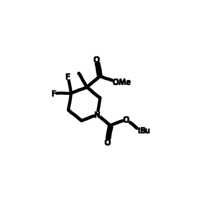 COC(=O)C1(C)CN(C(=O)OC(C)(C)C)CCC1(F)F